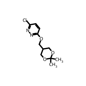 CC1(C)OCC(COc2ccc(Cl)nn2)CO1